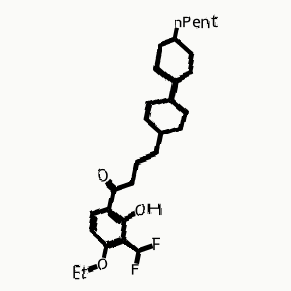 CCCCCC1CCC(C2CCC(CCCC(=O)c3ccc(OCC)c(C(F)F)c3O)CC2)CC1